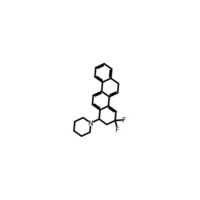 FC1(F)C=c2c(ccc3c2=CCc2ccccc2-3)C(N2CCCCC2)C1